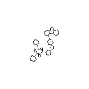 c1ccc(-c2nc(-c3ccccc3)nc(-c3cccc(Oc4ccc(-c5cccc6oc7ccccc7c56)cc4)c3)n2)cc1